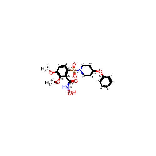 COc1ccc(S(=O)(=O)N2CCC(Oc3ccccc3)CC2)c(C(=O)NO)c1OC